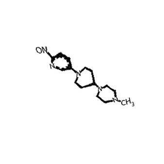 CN1CCN(C2CCN(c3ccc(N=O)nc3)CC2)CC1